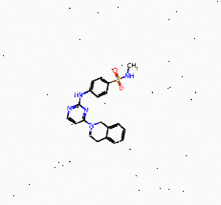 CNS(=O)(=O)c1ccc(Nc2nccc(N3CCc4ccccc4C3)n2)cc1